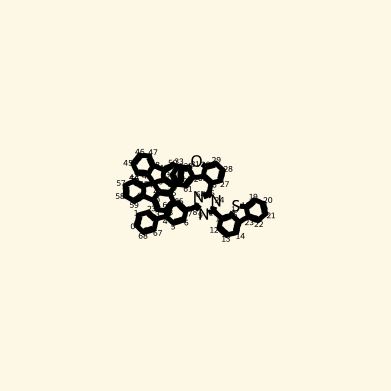 c1ccc(-c2ccc(-c3nc(-c4cccc5c4sc4ccccc45)nc(-c4cccc5oc6ccc(-c7cccc8c7C7(c9ccccc9-c9ccccc97)c7ccccc7-8)cc6c45)n3)cc2)cc1